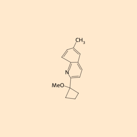 COC1(c2ccc3cc(C)ccc3n2)CCC1